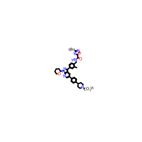 Cc1cc(-c2nn(C3CCCCO3)c3ncc(-c4ccc(C5CCN(C(=O)O)CC5)cc4)cc23)ccc1CNC(=O)c1nc(C(C)(C)C)no1